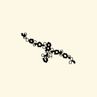 C=CC(=O)OCOc1ccc(OC(=O)C2CCC(C(=O)Oc3c4c(c(OC(=O)C5CCC(C(=O)OC6CCC(OCOC(=O)C=C)CC6)CC5)c5ccccc35)S/C(=C3\NC5C=CC=CN5C3=O)S4)CC2)cc1